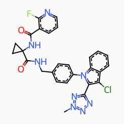 Cn1nnc(-c2c(Cl)c3ccccc3n2-c2ccc(CNC(=O)C3(NC(=O)c4cccnc4F)CC3)cc2)n1